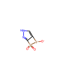 O=S1(=O)c2n[nH]cc2[S+]1[O-]